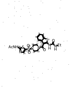 CCNC(=O)Nc1sc2ccccc2c1C(=O)N1CCN(S(=O)(=O)c2cnc(NC(C)=O)s2)CC1